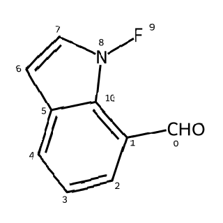 O=Cc1cccc2ccn(F)c12